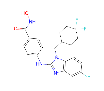 O=C(NO)c1ccc(Nc2nc3cc(F)ccc3n2CC2CCC(F)(F)CC2)cc1